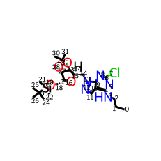 CCCNc1nc(Cl)nc2c1cnn2C[C@H]1O[C@H](CO[Si](C)(C)C(C)(C)C)C2OC(C)(C)O[C@H]21